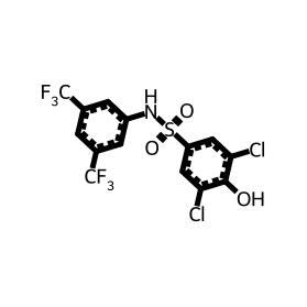 O=S(=O)(Nc1cc(C(F)(F)F)cc(C(F)(F)F)c1)c1cc(Cl)c(O)c(Cl)c1